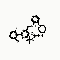 C[C@@H]1C[C@H](NC(=O)OC(C)(C)C)CN(c2ccncc2NCc2ccnc(-c3c(F)cccc3F)n2)C1